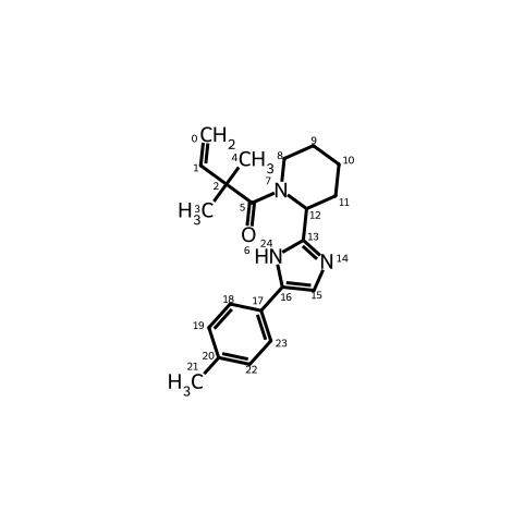 C=CC(C)(C)C(=O)N1CCCCC1c1ncc(-c2ccc(C)cc2)[nH]1